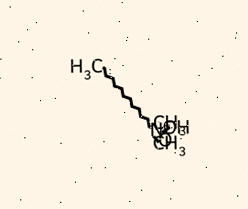 CCCCCCCCCCCCC[N+](C)(CC)C(=O)O